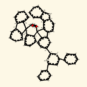 c1ccc(-c2cc(-c3ccccc3)nc(-c3ccc4c(c3)-c3ccc5oc6ccccc6c5c3C43c4ccccc4C4(c5ccccc5-c5ccccc54)c4ccccc43)n2)cc1